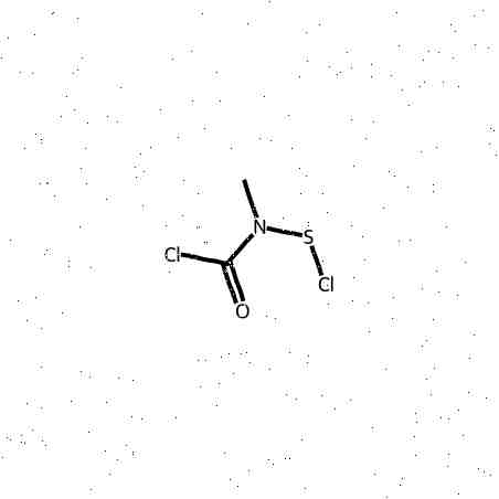 CN(SCl)C(=O)Cl